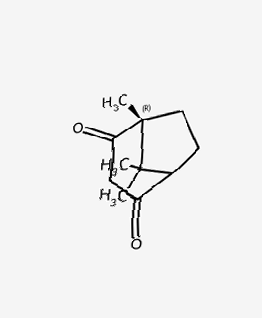 CC1(C)C2CC[C@@]1(C)C(=O)CC2=O